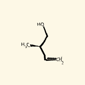 C=C[C@@H](C)CO